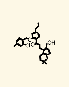 CCCc1ccc(C(=O)CCc2c(CO)ccc3c2C=CC(C)(C)C3)c(OCc2ccc(C)cc2Cl)c1